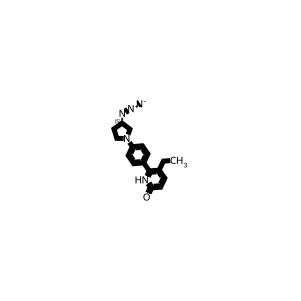 CCc1ccc(=O)[nH]c1-c1ccc(N2CC[C@H](N=[N+]=[N-])C2)cc1